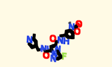 Cc1cc(CNC(=O)c2cc(C(=O)NCc3ccc4oc(=O)n(C)c4c3)nc3c(F)cnn23)ccn1